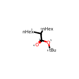 CCCCCCC(CCCCCC)C(=O)OC(C)(C)C